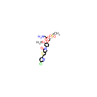 CCS(=O)(=O)C[C@H](COc1ccc(N2Cc3cc(-c4ccc(Cl)cn4)sc3C2=O)cc1OC)OC(=O)CN